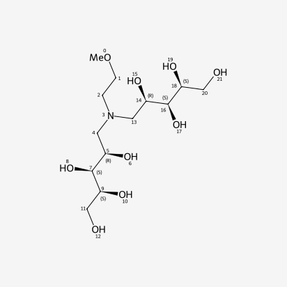 COCCN(C[C@@H](O)[C@H](O)[C@@H](O)CO)C[C@@H](O)[C@H](O)[C@@H](O)CO